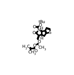 C=C(C)C(=O)O[C@@H](C)O/C=C1/C(=O)N(C(=O)OC(C)(C)C)[C@@H]2c3ccsc3C[C@H]12